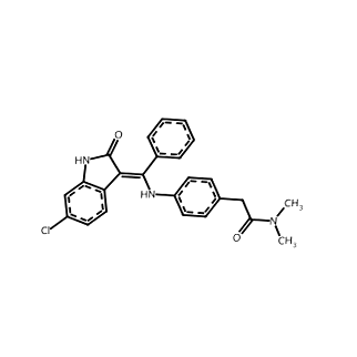 CN(C)C(=O)Cc1ccc(NC(=C2C(=O)Nc3cc(Cl)ccc32)c2ccccc2)cc1